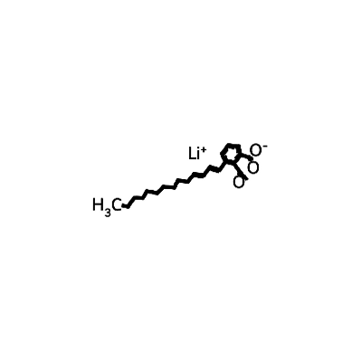 CCCCCCCCCC/C=C/C=C/c1cccc(C(=O)[O-])c1C1CO1.[Li+]